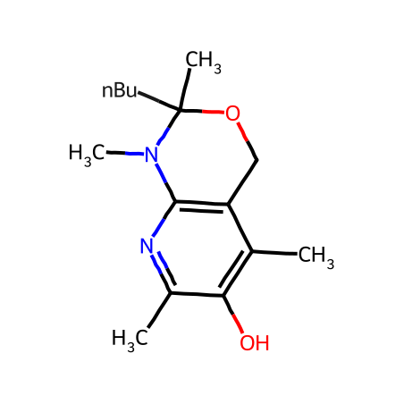 CCCCC1(C)OCc2c(nc(C)c(O)c2C)N1C